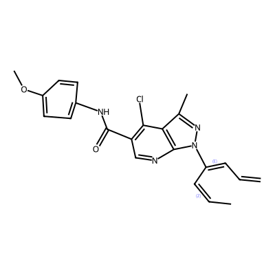 C=C/C=C(\C=C/C)n1nc(C)c2c(Cl)c(C(=O)Nc3ccc(OC)cc3)cnc21